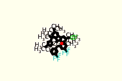 CCCC1C=C(C(C)(C)C)C=[C]1[Zr+2](=[C](c1cccc(C(F)(F)F)c1)c1cccc(C(F)(F)F)c1)[CH]1c2cc(C)c(C(C)(C)C)cc2-c2cc(C(C)(C)C)c(C)cc21.[Cl-].[Cl-]